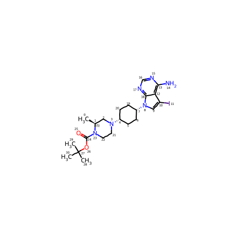 C[C@H]1CN([C@H]2CC[C@@H](n3cc(I)c4c(N)ncnc43)CC2)CCN1C(=O)OC(C)(C)C